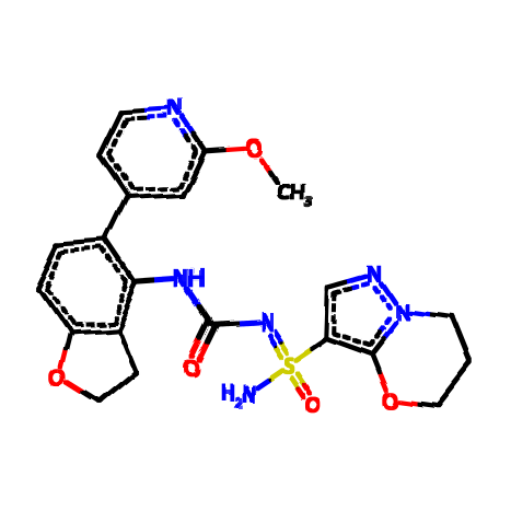 COc1cc(-c2ccc3c(c2NC(=O)N=S(N)(=O)c2cnn4c2OCCC4)CCO3)ccn1